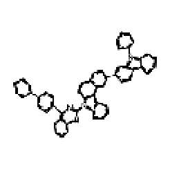 c1ccc(-c2ccc(-c3nc(-n4c5ccccc5c5c6cc(-c7ccc8c9ccccc9n(-c9ccccc9)c8c7)ccc6ccc54)nc4ccccc34)cc2)cc1